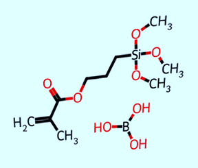 C=C(C)C(=O)OCCC[Si](OC)(OC)OC.OB(O)O